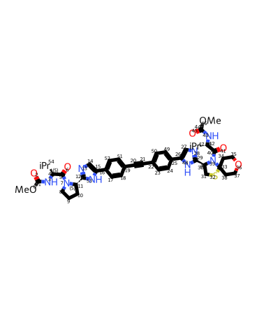 COC(=O)N[C@H](C(=O)N1CCC[C@H]1c1ncc(-c2ccc(C#Cc3ccc(-c4cnc([C@@H]5CSC6(CCOCC6)N5C(=O)[C@@H](NC(=O)OC)C(C)C)[nH]4)cc3)cc2)[nH]1)C(C)C